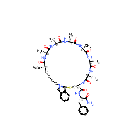 CC(=O)N[C@H]1CCCCn2cc3ccccc3c2SC[C@@H](C(=O)N[C@@H](Cc2ccccc2)C(N)=O)NC(=O)[C@H](C)NC(=O)[C@H](C)NC(=O)[C@H](C)NC(=O)[C@H](C)NC(=O)[C@H](C)NC(=O)[C@H](C)NC1=O